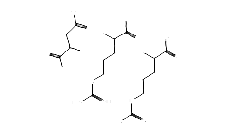 N=C(N)NCCCC(N)C(=O)O.N=C(N)NCCCC(N)C(=O)O.O=C(O)CC(O)C(=O)O